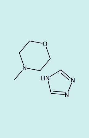 CN1CCOCC1.c1nnc[nH]1